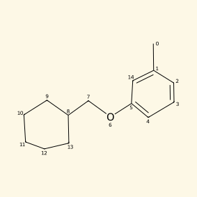 Cc1cccc(OCC2CCCCC2)c1